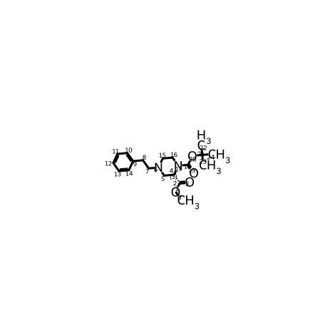 COC(=O)[C@@H]1CN(CCc2ccccc2)CCN1C(=O)OC(C)(C)C